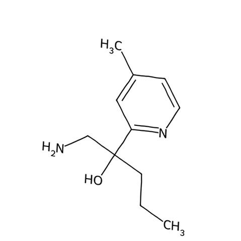 CCCC(O)(CN)c1cc(C)ccn1